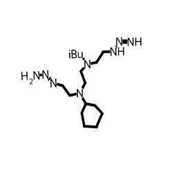 CCC(C)N(CCNN=N)CCN(CCN=NN)C1CCCCC1